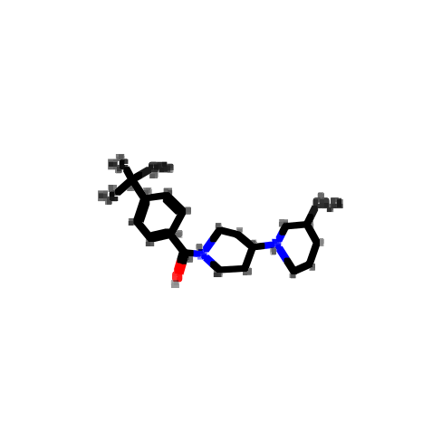 CCOC(=O)C1CCCN(C2CCN(C(=O)c3ccc(C(C)(C)OC)cc3)CC2)C1